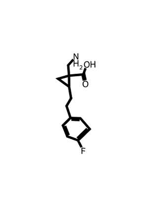 NCC1(C(=O)O)CC1CCc1ccc(F)cc1